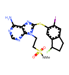 CNS(=O)(=O)CCn1c(Sc2cc3c(cc2I)CCC3F)nc2c(N)ncnc21